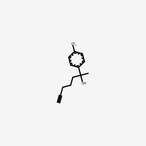 C#CCCCC(C)(O)c1ccc(C(F)(F)F)cc1